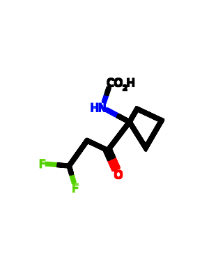 O=C(O)NC1(C(=O)CC(F)F)CCC1